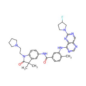 Cc1ccc(C(=O)Nc2ccc3c(c2)C(C)(C)C(=O)N3CCN2CCCC2)cc1Nc1ncnc2cnc(N3CCC(F)C3)nc12